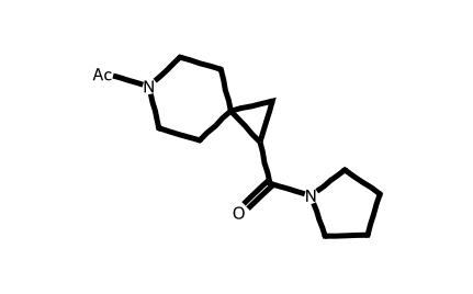 CC(=O)N1CCC2(CC1)CC2C(=O)N1CCCC1